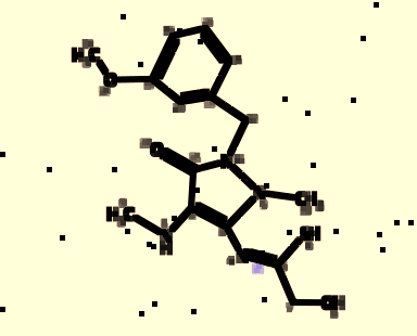 CNc1c(/N=C(\S)CO)n(C)n(Cc2cccc(OC)c2)c1=O